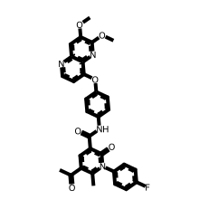 COc1cc2nccc(Oc3ccc(NC(=O)c4cc(C(C)=O)c(C)n(-c5ccc(F)cc5)c4=O)cc3)c2nc1OC